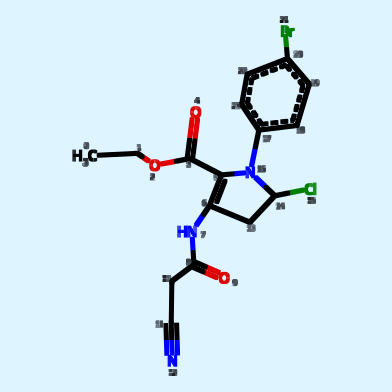 CCOC(=O)C1=C(NC(=O)CC#N)CC(Cl)N1c1ccc(Br)cc1